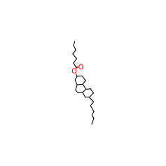 CCCCCCC(=O)OC1CCC2C(CCC3CC(CCCCCC)CCC32)C1